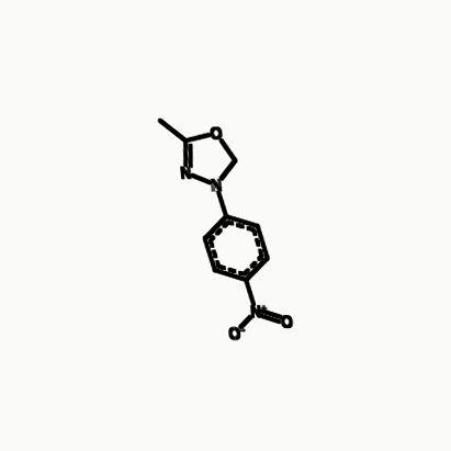 CC1=NN(c2ccc([N+](=O)[O-])cc2)CO1